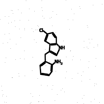 Nc1ccccc1Cc1c[nH]c2ccc(Cl)cc12